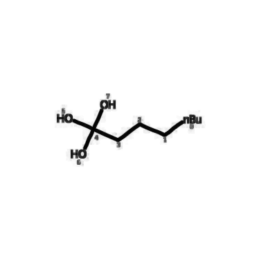 CCCCCCCC(O)(O)O